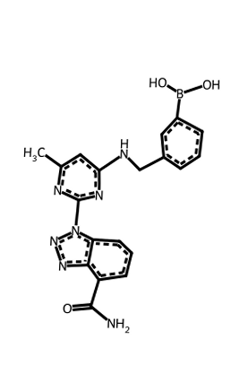 Cc1cc(NCc2cccc(B(O)O)c2)nc(-n2nnc3c(C(N)=O)cccc32)n1